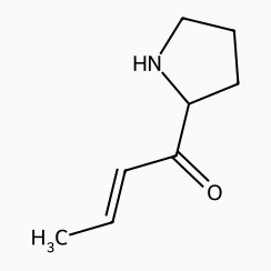 C/C=C/C(=O)C1CCCN1